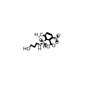 Cc1ccc([N+](=O)[O-])c(C(=O)O)c1S(=O)(=O)NCCCO